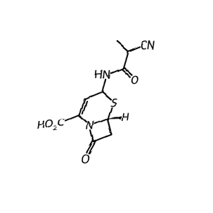 CC(C#N)C(=O)NC1C=C(C(=O)O)N2C(=O)C[C@H]2S1